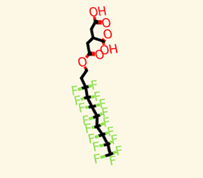 O=C(O)CC(CC(=O)OCCC(F)(F)C(F)(F)C(F)(F)C(F)(F)C(F)(F)C(F)(F)C(F)(F)C(F)(F)F)C(=O)O